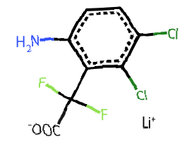 Nc1ccc(Cl)c(Cl)c1C(F)(F)C(=O)[O-].[Li+]